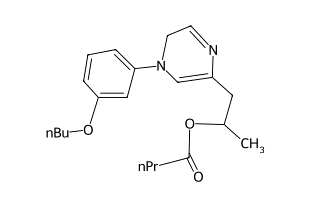 CCCCOc1cccc(N2C=C(CC(C)OC(=O)CCC)N=CC2)c1